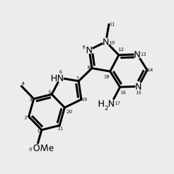 COc1cc(C)c2[nH]c(-c3nn(C)c4ncnc(N)c34)cc2c1